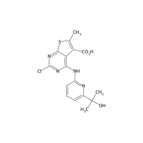 Cc1sc2nc(Cl)nc(Nc3cccc(C(C)(C)O)n3)c2c1C(=O)O